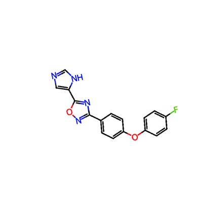 Fc1ccc(Oc2ccc(-c3noc(-c4cnc[nH]4)n3)cc2)cc1